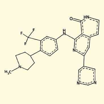 CN1CCC(c2ccc(Nc3nc(-c4cncnc4)cc4cc[nH]c(=O)c34)cc2C(F)(F)F)CC1